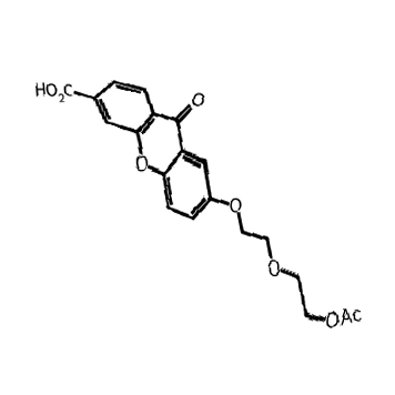 CC(=O)OCCOCCOc1ccc2oc3cc(C(=O)O)ccc3c(=O)c2c1